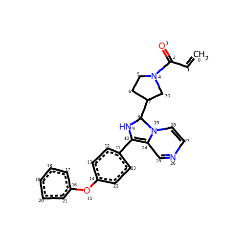 C=CC(=O)N1CCC(C2NC(c3ccc(Oc4ccccc4)cc3)=C3C=NC=CN32)C1